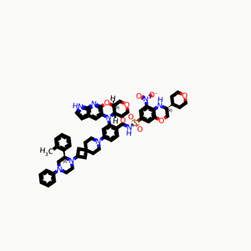 Cc1ccccc1[C@@H]1CN(c2ccccc2)CCN1C1CC2(CCN(c3ccc(C(=O)NS(=O)(=O)c4cc5c(c([N+](=O)[O-])c4)N[C@H](C4CCOCC4)CO5)c(N4c5cc6cc[nH]c6nc5O[C@H]5COCC[C@@H]54)c3)CC2)C1